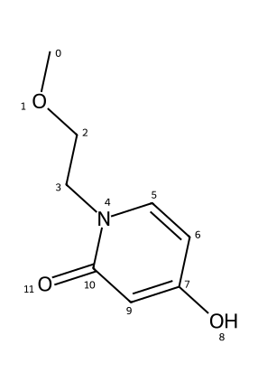 COCCn1ccc(O)cc1=O